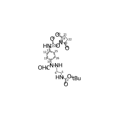 CC(C)(C)OC(=O)NCCNN(C=O)c1ccc(NC(=O)ON2C(=O)CCC2=O)cc1